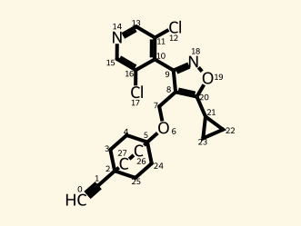 C#CC12CCC(OCc3c(-c4c(Cl)cncc4Cl)noc3C3CC3)(CC1)CC2